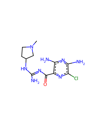 CN1CCC(N/C(N)=N/C(=O)c2nc(Cl)c(N)nc2N)C1